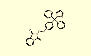 O=C1c2ccccc2C(=O)N1OCc1ccc(C(c2ccccc2)(c2ccccc2)n2cccn2)cc1